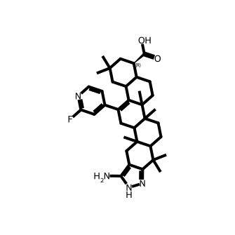 CC1(C)CC2C3=C(c4ccnc(F)c4)CC4C5(C)Cc6c(n[nH]c6N)C(C)(C)C5CCC4(C)C3(C)CCC2[C@H](C(=O)O)C1